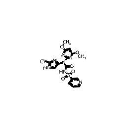 COc1cc(OC)nc(N(C(=O)NS(=O)(=O)c2cccnc2)c2c[nH]c(Cl)n2)n1